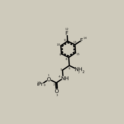 CC(C)OC(=O)NCC(N)c1ccc(F)c(F)c1